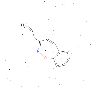 C=CCC1=NOc2ccccc2C=C1